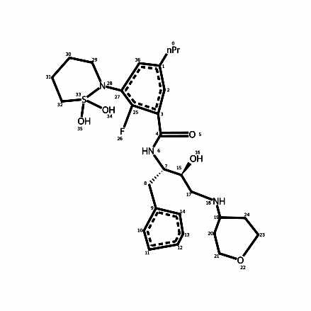 CCCc1cc(C(=O)N[C@@H](Cc2ccccc2)[C@@H](O)CNC2CCOCC2)c(F)c(N2CCCCS2(O)O)c1